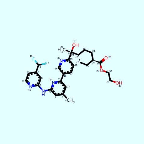 Cc1cc(Nc2cc(C(F)F)ccn2)nc(-c2ccc([C@](C)(O)[C@H]3CC[C@H](C(=O)OCCO)CC3)nc2)c1